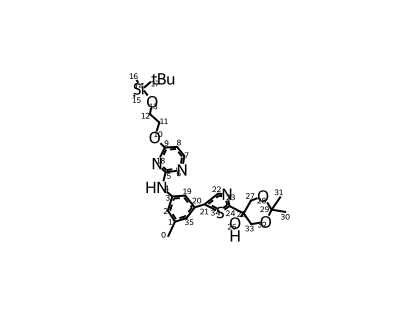 Cc1cc(Nc2nccc(OCCO[Si](C)(C)C(C)(C)C)n2)cc(-c2cnc(C3(O)COC(C)(C)OC3)s2)c1